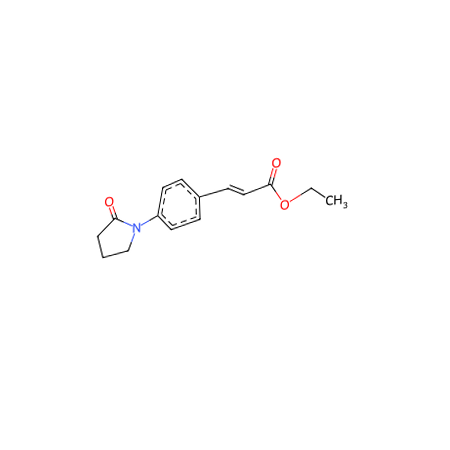 CCOC(=O)C=Cc1ccc(N2CCCC2=O)cc1